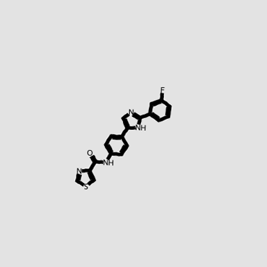 O=C(Nc1ccc(-c2cnc(-c3cccc(F)c3)[nH]2)cc1)c1cscn1